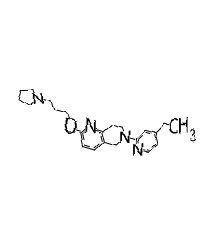 CCc1ccnc(N2CCc3nc(OCCCN4CCCC4)ccc3C2)c1